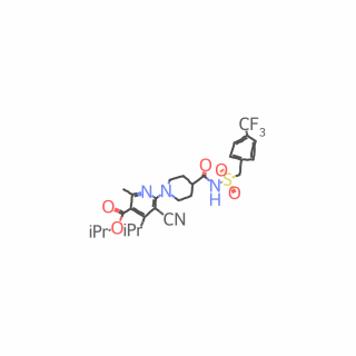 Cc1nc(N2CCC(C(=O)NS(=O)(=O)Cc3ccc(C(F)(F)F)cc3)CC2)c(C#N)c(C(C)C)c1C(=O)OC(C)C